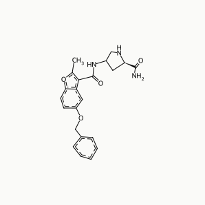 Cc1oc2ccc(OCc3ccccc3)cc2c1C(=O)NC1CN[C@@H](C(N)=O)C1